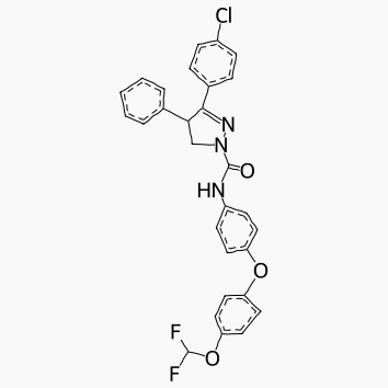 O=C(Nc1ccc(Oc2ccc(OC(F)F)cc2)cc1)N1CC(c2ccccc2)C(c2ccc(Cl)cc2)=N1